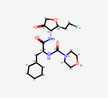 O=C(N[C@@H]1C(=O)CO[C@H]1CCF)[C@H](CC1CCCCC1)NC(=O)N1CCOCC1